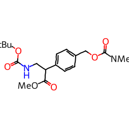 CNC(=O)OCc1ccc(C(CNC(=O)OC(C)(C)C)C(=O)OC)cc1